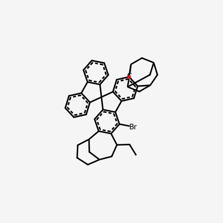 CCC1CC2CCCC(C2)c2cc3c(c(Br)c21)-c1cc2c(cc1C31c3ccccc3-c3ccccc31)C1CC3CC(CC2C3)C1